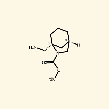 CC(C)(C)OC(=O)N1C[C@@H]2CCC[C@@]1(CN)C2